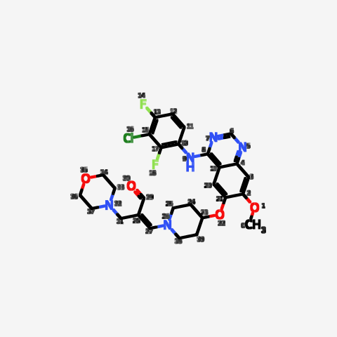 COc1cc2ncnc(Nc3ccc(F)c(Cl)c3F)c2cc1OC1CCN(C=C(C=O)CN2CCOCC2)CC1